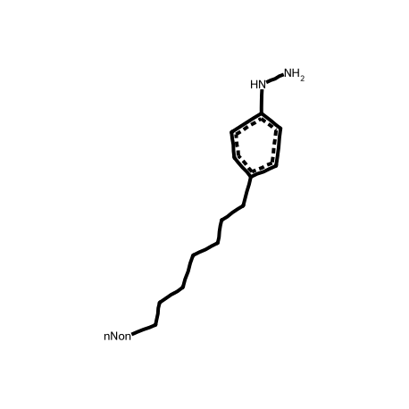 CCCCCCCCCCCCCCCCc1ccc(NN)cc1